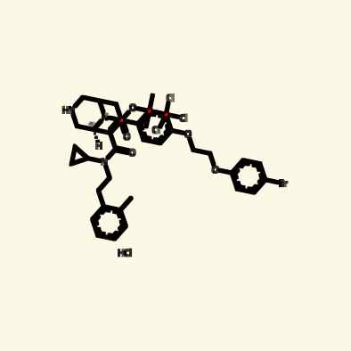 Cc1ccccc1CCN(C(=O)C1=C(c2ccc(OCCOc3ccc(Br)cc3)cc2)CC2CNC[C@H]1N2C(=O)OC(C)(C)C(Cl)(Cl)Cl)C1CC1.Cl